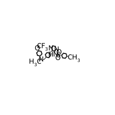 Cc1ccc(S(=O)(=O)Nc2nccnc2-c2ccc(CN(C)c3ccc(OC(F)(F)F)cc3)cc2)cc1